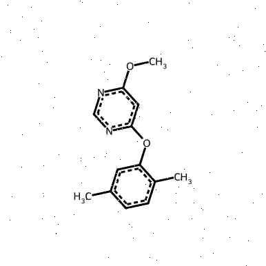 COc1cc(Oc2cc(C)ccc2C)ncn1